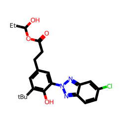 CCC(O)OC(=O)CCc1cc(-n2nc3ccc(Cl)cc3n2)c(O)c(C(C)(C)C)c1